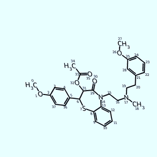 COc1ccc(C2Sc3ccccc3N(CCN(C)CCc3cccc(OC)c3)C(=O)C2OC(C)=O)cc1